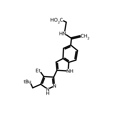 C=C(NCC(=O)O)c1ccc2[nH]c(-c3n[nH]c(CC(C)(C)C)c3CC)cc2c1